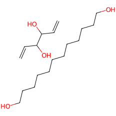 C=CC(O)C(O)C=C.OCCCCCCCCCCCCO